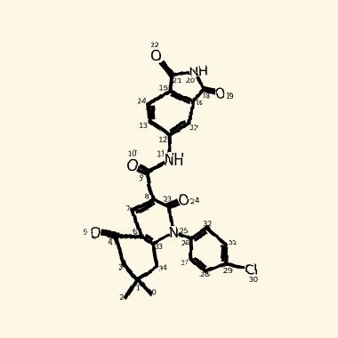 CC1(C)CC(=O)c2cc(C(=O)Nc3ccc4c(c3)C(=O)NC4=O)c(=O)n(-c3ccc(Cl)cc3)c2C1